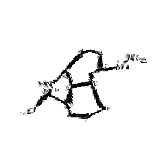 NNc1ccc2c3c(cccc13)C(=O)N2